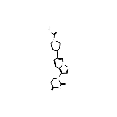 CC(C)(C)OC(=O)N1CCC(c2ccc3c(N4CCC(=O)NC4=O)cnn3c2)CC1